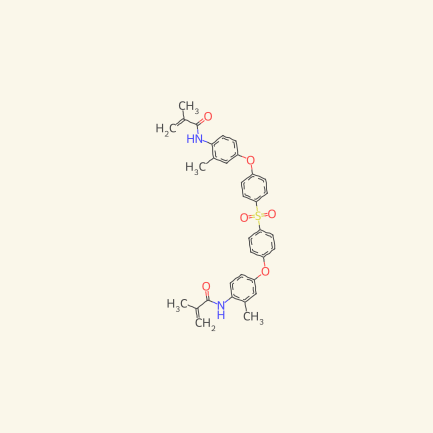 C=C(C)C(=O)Nc1ccc(Oc2ccc(S(=O)(=O)c3ccc(Oc4ccc(NC(=O)C(=C)C)c(C)c4)cc3)cc2)cc1C